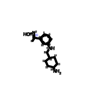 C/C(=N\O)c1cccc(NCC2CCC(N)CC2)c1